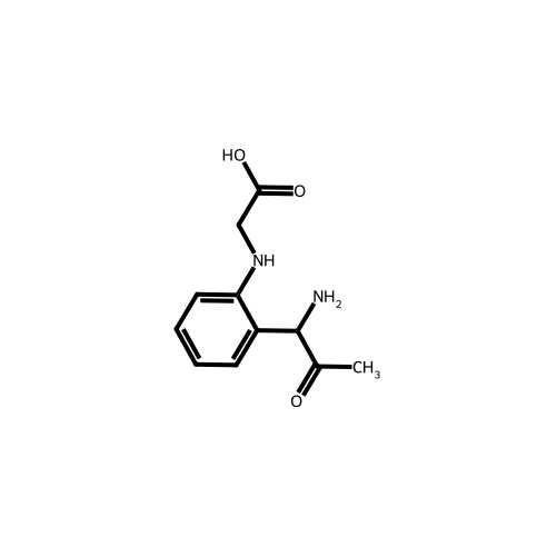 CC(=O)C(N)c1ccccc1NCC(=O)O